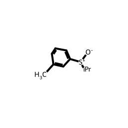 Cc1cccc([S+]([O-])C(C)C)c1